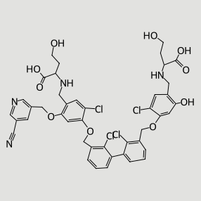 N#Cc1cncc(COc2cc(OCc3cccc(-c4cccc(COc5cc(O)c(CNC(CCO)C(=O)O)cc5Cl)c4Cl)c3Cl)c(Cl)cc2CNC(CCO)C(=O)O)c1